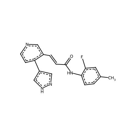 Cc1ccc(NC(=O)C=Cc2cnccc2-c2cn[nH]c2)c(F)c1